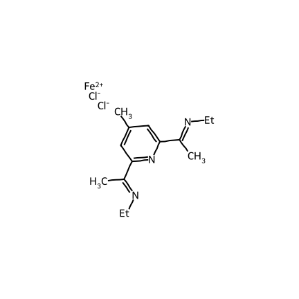 CCN=C(C)c1cc(C)cc(C(C)=NCC)n1.[Cl-].[Cl-].[Fe+2]